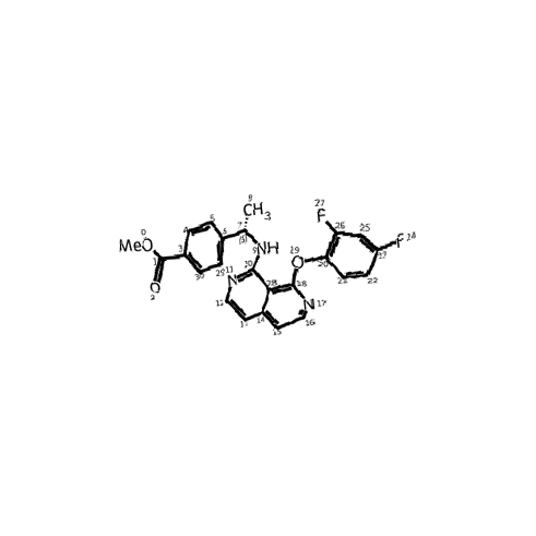 COC(=O)c1ccc([C@H](C)Nc2nccc3ccnc(Oc4ccc(F)cc4F)c23)cc1